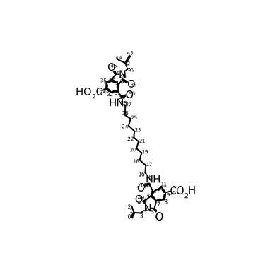 C=C(C)CN1C(=O)c2cc(C(=O)O)cc(C(=O)NCCCCCCCCCCCCNC(=O)c3cc(C(=O)O)cc4c3C(=O)N(CC(=C)C)C4=O)c2C1=O